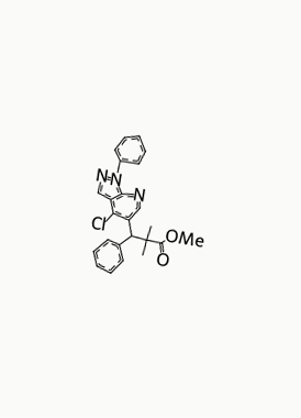 COC(=O)C(C)(C)C(c1ccccc1)c1cnc2c(cnn2-c2ccccc2)c1Cl